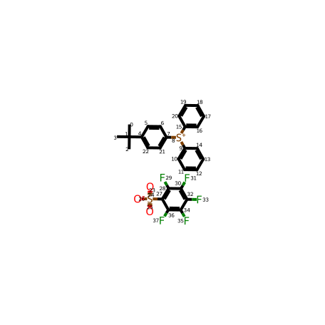 CC(C)(C)c1ccc([S+](c2ccccc2)c2ccccc2)cc1.O=S(=O)([O-])c1c(F)c(F)c(F)c(F)c1F